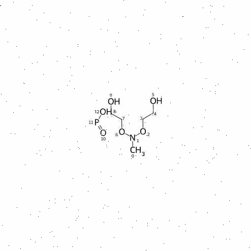 CN(OCCO)OCCO.O=PO